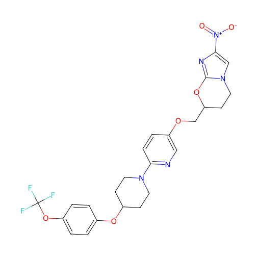 O=[N+]([O-])c1cn2c(n1)OC(COc1ccc(N3CCC(Oc4ccc(OC(F)(F)F)cc4)CC3)nc1)CC2